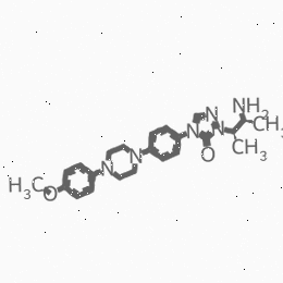 COc1ccc(N2CCN(c3ccc(-n4cnn([C@@H](C)[C@H](C)N)c4=O)cc3)CC2)cc1